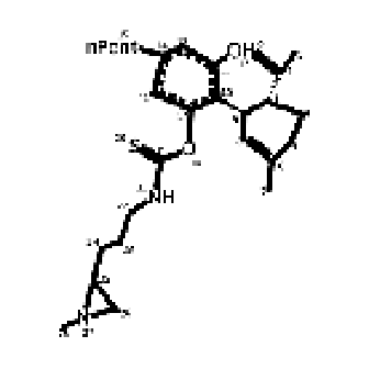 C=C(C)[C@@H]1CCC(C)=C[C@H]1c1c(O)cc(CCCCC)cc1OC(=S)NCCCC1CN1C